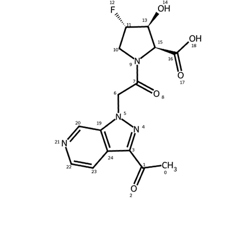 CC(=O)c1nn(CC(=O)N2C[C@H](F)[C@@H](O)[C@H]2C(=O)O)c2cnccc12